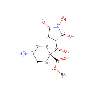 CC(C)(C)OC(=O)[C@]1(C(=O)C2CC(=O)N(O)C2=O)CC[C@@H](N)CC1